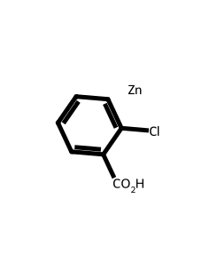 O=C(O)c1ccccc1Cl.[Zn]